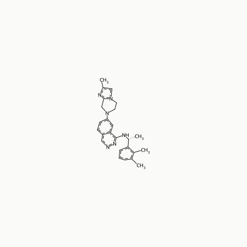 Cc1cn2c(n1)CN(c1ccc3cnnc(N[C@H](C)c4cccc(C)c4C)c3c1)CC2